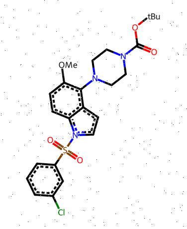 COc1ccc2c(ccn2S(=O)(=O)c2cccc(Cl)c2)c1N1CCN(C(=O)OC(C)(C)C)CC1